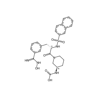 N=C(NO)c1cccc(C[C@H](NS(=O)(=O)c2ccc3ccccc3c2)C(=O)N2CCC[C@@H](NC(=O)O)C2)c1